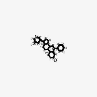 C[C@]12CCC(=O)C=C1C(c1ccccc1)CC1C2CC[C@]2(C)C(c3cncc(F)c3)=CCC12